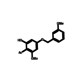 COc1cccc(COc2cc(O)c(C(C)=O)c(OC)c2)c1